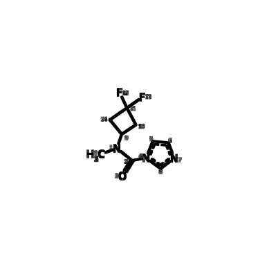 CN(C(=O)n1ccnc1)C1CC(F)(F)C1